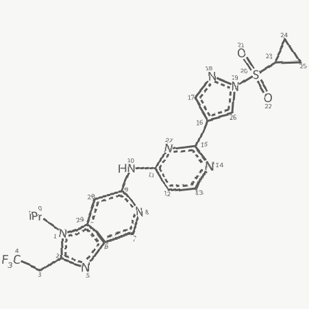 CC(C)n1c(CC(F)(F)F)nc2cnc(Nc3ccnc(-c4cnn(S(=O)(=O)C5CC5)c4)n3)cc21